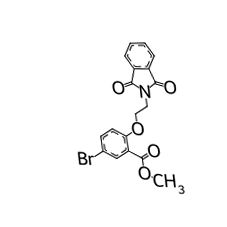 COC(=O)c1cc(Br)ccc1OCCN1C(=O)c2ccccc2C1=O